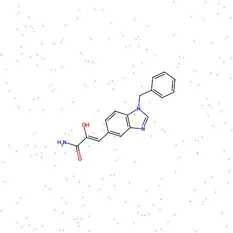 NC(=O)/C(O)=C/c1ccc2c(c1)ncn2Cc1ccccc1